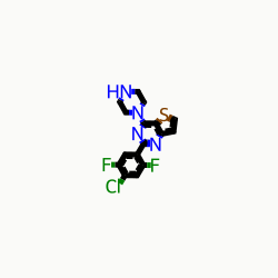 Fc1cc(-c2nc(N3CCNCC3)c3sccc3n2)c(F)cc1Cl